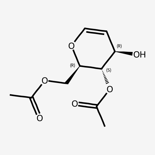 CC(=O)OC[C@H]1OC=C[C@@H](O)[C@@H]1OC(C)=O